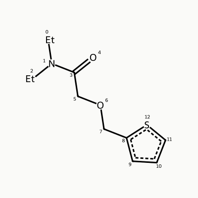 CCN(CC)C(=O)COCc1cccs1